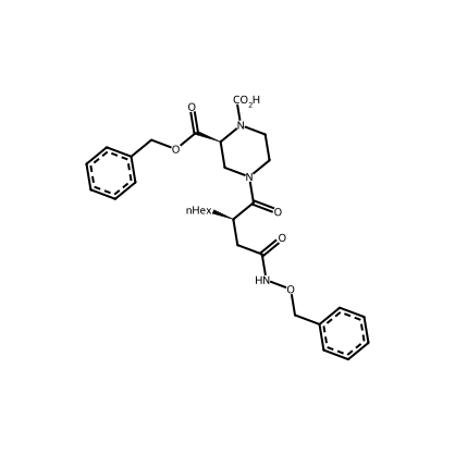 CCCCCC[C@H](CC(=O)NOCc1ccccc1)C(=O)N1CCN(C(=O)O)[C@H](C(=O)OCc2ccccc2)C1